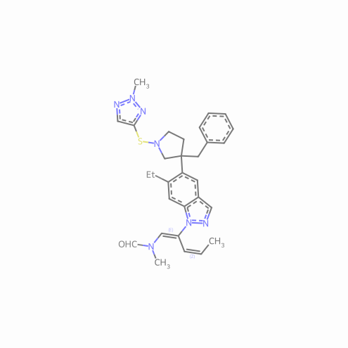 C/C=C\C(=C/N(C)C=O)n1ncc2cc(C3(Cc4ccccc4)CCN(Sc4cnn(C)n4)C3)c(CC)cc21